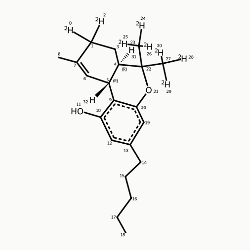 [2H]C1([2H])C[C@@H]2[C@@H](C=C1C)c1c(O)cc(CCCCC)cc1OC2(C([2H])([2H])[2H])C([2H])([2H])[2H]